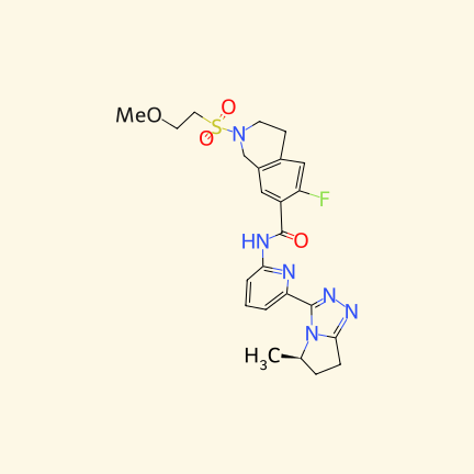 COCCS(=O)(=O)N1CCc2cc(F)c(C(=O)Nc3cccc(-c4nnc5n4[C@H](C)CC5)n3)cc2C1